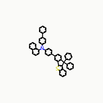 c1ccc(-c2ccc(N(c3ccc(-c4ccc5c(c4)-c4sc6ccccc6c4C5(c4ccccc4)c4ccccc4)cc3)c3cccc4ccccc34)cc2)cc1